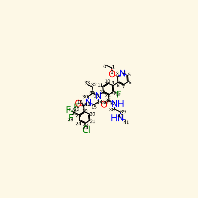 CCOc1ncccc1-c1ccc(N2CCN(C(=O)c3ccc(Cl)cc3C(F)(F)F)C[C@H]2CC)c(C(=O)NCCNC)c1F